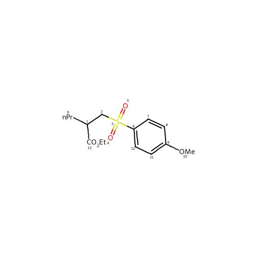 CCCC(CS(=O)(=O)c1ccc(OC)cc1)C(=O)OCC